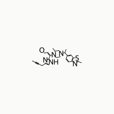 CC#CCc1c[nH]c(/C(=C\C=O)N2CCN(C(C)c3ccc4nc(C)sc4c3)CC2C)n1